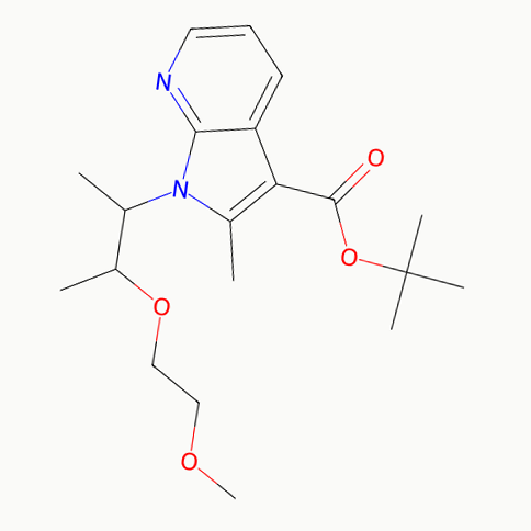 COCCOC(C)C(C)n1c(C)c(C(=O)OC(C)(C)C)c2cccnc21